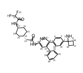 NC1(c2ccc(-c3nnc(NC(=O)C[C@H]4CC[C@H](NC(=O)C(F)F)CC4)cc3-c3ccccc3)cc2)CCC1